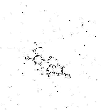 CC(C)Oc1cc2c(cc1O)C(C)(C)c1[nH]c3cc(N)ccc3c1C2=O